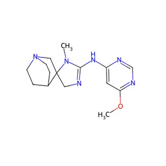 COc1cc(NC2=NCC3(CN4CCC3CC4)N2C)ncn1